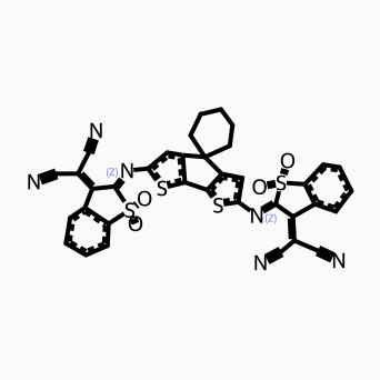 N#CC(C#N)=C1/C(=N/c2cc3c(s2)-c2sc(/N=C4/C(=C(C#N)C#N)c5ccccc5S4(=O)=O)cc2C32CCCCC2)S(=O)(=O)c2ccccc21